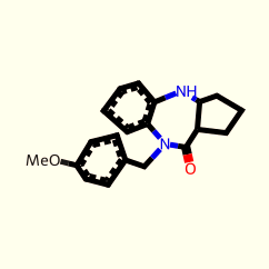 COc1ccc(CN2C(=O)C3CCCC3Nc3ccccc32)cc1